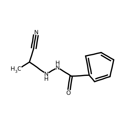 CC(C#N)NNC(=O)c1ccccc1